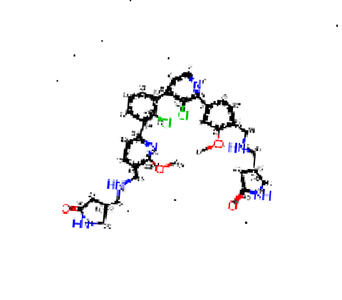 COc1cc(-c2nccc(-c3cccc(-c4ccc(CNC[C@H]5CNC(=O)C5)c(OC)n4)c3Cl)c2Cl)ccc1CNC[C@H]1CNC(=O)C1